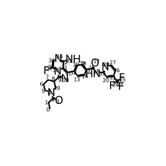 CCC(=O)N1CCCC(c2nc(-c3ccc(C(=O)Nc4cc(C(F)(F)F)ccn4)cc3)c3c(N)ncc(F)n23)C1